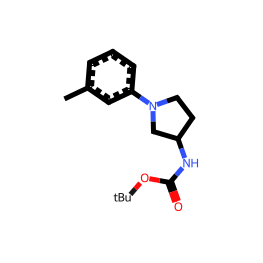 Cc1cccc(N2CCC(NC(=O)OC(C)(C)C)C2)c1